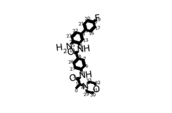 CC(C(=O)Nc1ccc(C(=O)Nc2cc(-c3ccc(F)cc3)ccc2N)cc1)N1CCOCC1